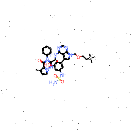 Cc1ccn2nc([C@H](C)Nc3ncnc4c3c(-c3cc(O)cc(NS(N)(=O)=O)c3)cn4COCC[Si](C)(C)C)n(-c3ccccc3)c(=O)c12